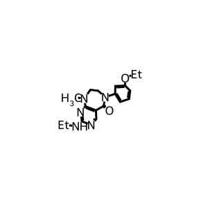 [CH2]COc1cccc(N2CCN(C)c3nc(NCC)ncc3C2=O)c1